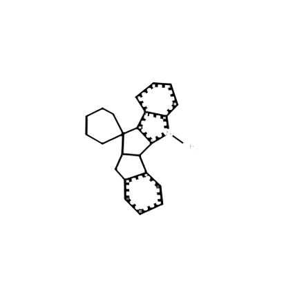 Cn1c2c(c3ccccc31)C1(CCCCC1)C1Cc3ccccc3C21